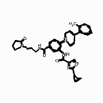 Cc1ccccc1C1=CCN(c2ccc(C(=O)NCCCN3CCCC3=O)cc2NC(=O)c2coc(C3CC3)n2)CC1